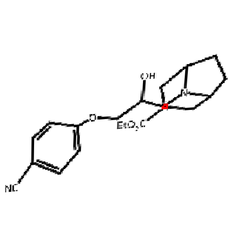 CCOC(=O)N1CC2CCC(C1)N2CC(O)COc1ccc(C#N)cc1